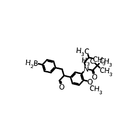 Bc1ccc(CC(C=O)c2ccc(OC)c(N(CC(C)C)C(=O)C(C)(C)C)c2)cc1